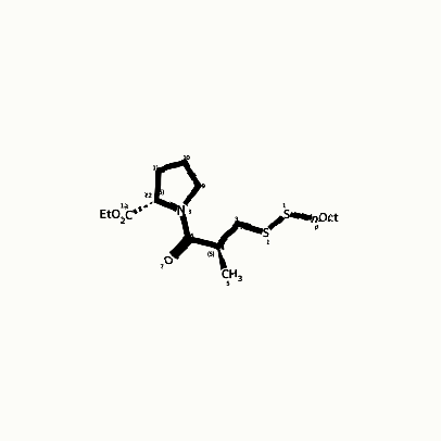 CCCCCCCCSSC[C@@H](C)C(=O)N1CCC[C@H]1C(=O)OCC